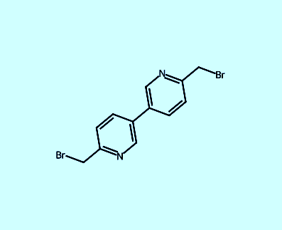 BrCc1ccc(-c2ccc(CBr)nc2)cn1